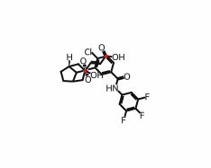 O=C(O)/C=C/C1(O)CC2CC[C@H](C1)C2S(=O)(=O)c1cc(C(=O)Nc2cc(F)c(F)c(F)c2)ccc1Cl